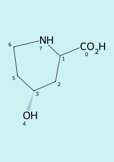 O=C(O)C1C[C@H](O)CCN1